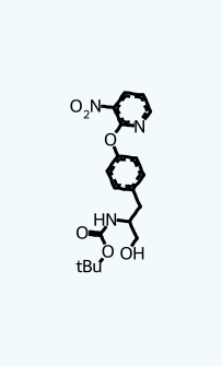 CC(C)(C)OC(=O)NC(CO)Cc1ccc(Oc2ncccc2[N+](=O)[O-])cc1